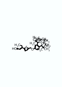 C#CC=C(CC)c1ccc(COc2ccc(C(O[SiH](C)C)C(C)(C)C)c(C(O[SiH](C)C)C(C)(C)C)c2)s1